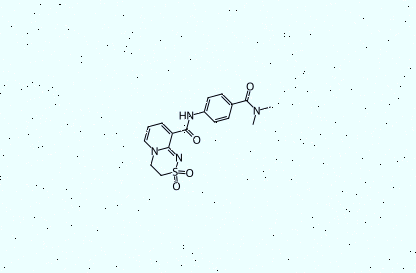 CN(C)C(=O)c1ccc(NC(=O)C2=CC=CN3CCS(=O)(=O)N=C23)cc1